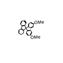 COc1ccc(C2(c3ccc(OC)cc3)C3=C(C=CCC3)c3ccc#cc32)cc1